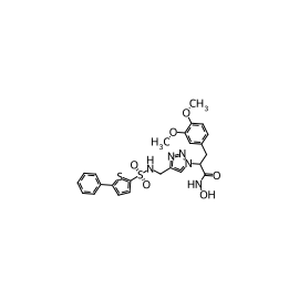 COc1ccc(CC(C(=O)NO)n2cc(CNS(=O)(=O)c3ccc(-c4ccccc4)s3)nn2)cc1OC